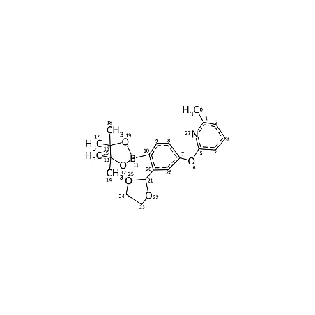 Cc1cccc(Oc2ccc(B3OC(C)(C)C(C)(C)O3)c(C3OCCO3)c2)n1